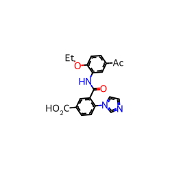 CCOc1ccc(C(C)=O)cc1NC(=O)c1cc(C(=O)O)ccc1-n1ccnc1